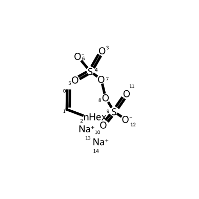 C=CCCCCCC.O=S(=O)([O-])OOS(=O)(=O)[O-].[Na+].[Na+]